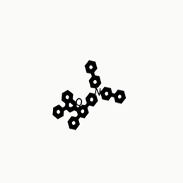 c1ccc(-c2ccc(N(c3ccc(-c4ccccc4)cc3)c3ccc(-c4ccc(-c5ccccc5)c5c4oc4c6ccccc6c(-c6ccccc6)cc45)cc3)cc2)cc1